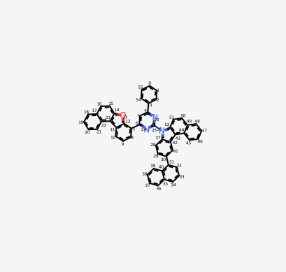 c1ccc(-c2cc(-c3cccc4c3oc3ccc5ccccc5c34)nc(-n3c4ccc(-c5cccc6ccccc56)cc4c4c5ccccc5ccc43)n2)cc1